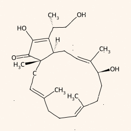 C/C1=C\C[C@]2(C)C(=O)C(O)=C([C@H](C)CO)[C@H]2C/C=C(\C)[C@@H](O)CC/C(C)=C/CC1